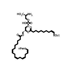 CCCCC/C=C\C/C=C\C/C=C\C/C=C\CCCCCC(=O)OC[C@H](COP(=O)(O)OC[C@H](N)C(=O)O)OC(=O)CCCCCCC/C=C\CCCCCCCC